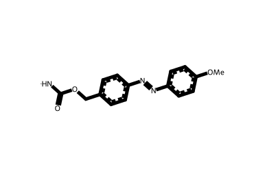 COc1ccc(N=Nc2ccc(COC([NH])=O)cc2)cc1